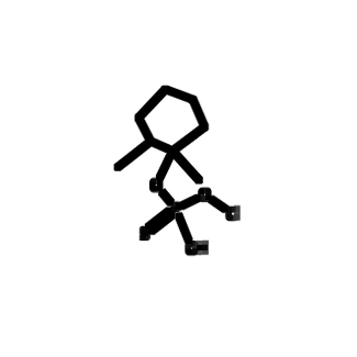 CC1CCCCC1(C)OP(O)(=S)OCl